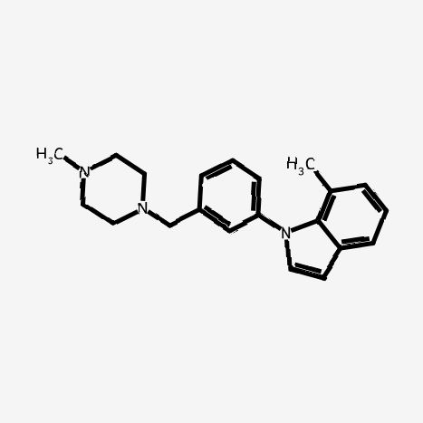 Cc1cccc2ccn(-c3cccc(CN4CCN(C)CC4)c3)c12